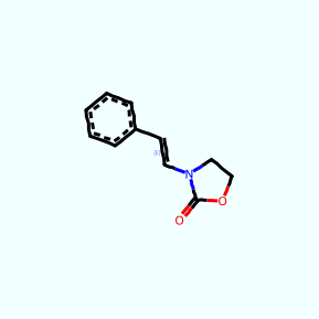 O=C1OCCN1/C=C/c1ccccc1